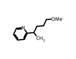 COCCCC(C)c1ccccn1